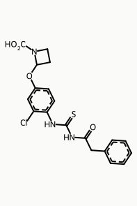 O=C(Cc1ccccc1)NC(=S)Nc1ccc(OC2CCN2C(=O)O)cc1Cl